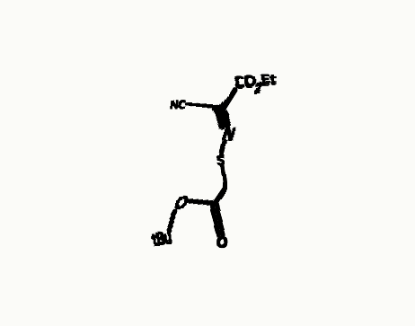 CCOC(=O)C(C#N)=NSCC(=O)OC(C)(C)C